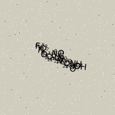 Cn1c2cc(Oc3cccc(F)n3)ccc2c2cnn(Cc3cccc(NC(=O)O)c3)c(=O)c21